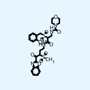 COc1ccccc1CS(=O)(=O)C(CNC(=O)N1CCOCC1)C(=O)NCCC(C(=O)c1nc2ccccc2o1)S(C)(=O)=O